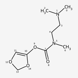 CN(C)CCN(C)C(=O)OC1=COCO1